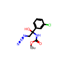 CC(C)(C)OC(=O)NC(O)(CN=[N+]=[N-])c1cccc(Cl)c1